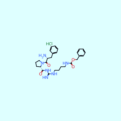 Cl.N=C(NCCCCNC(=O)OCc1ccccc1)NC(=O)[C@@H]1CCCN1C(=O)[C@H](N)Cc1ccccc1